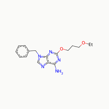 CCOCCCOc1nc(N)c2ncn(Cc3ccccc3)c2n1